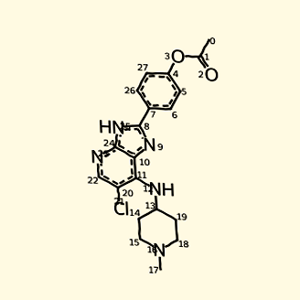 CC(=O)Oc1ccc(-c2nc3c(NC4CCN(C)CC4)c(Cl)cnc3[nH]2)cc1